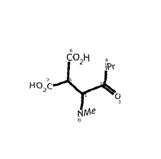 CNC(C(=O)C(C)C)C(C(=O)O)C(=O)O